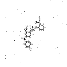 COC(=O)c1ccncc1NC[C@@H]1CCOc2cc(N(C)c3ccc(Cl)cn3)ccc21